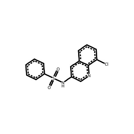 O=S(=O)(Nc1cnc2c(Cl)cccc2c1)c1ccccc1